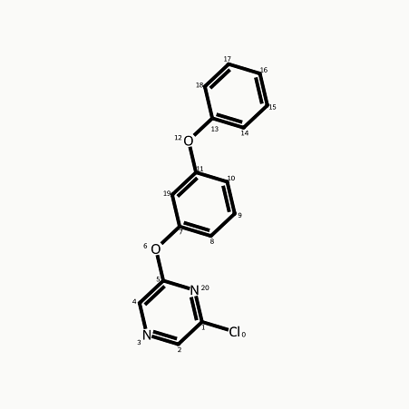 Clc1cncc(Oc2cccc(Oc3ccccc3)c2)n1